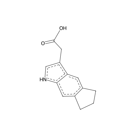 O=C(O)Cc1c[nH]c2cc3c(cc12)CCC3